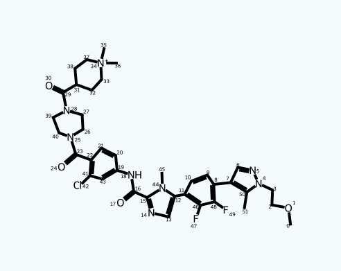 COCCn1ncc(-c2ccc(-c3cnc(C(=O)Nc4ccc(C(=O)N5CCN(C(=O)C6CC[N+](C)(C)CC6)CC5)c(Cl)c4)n3C)c(F)c2F)c1C